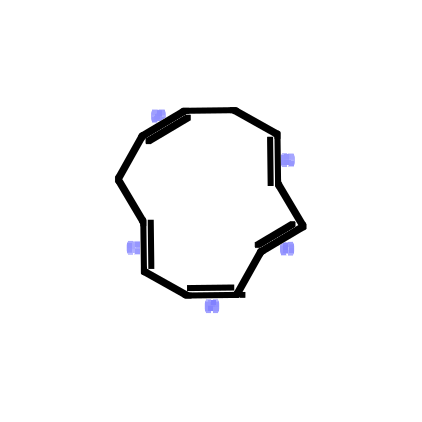 [C]1=C\C=C\C/C=C\C/C=C/C=C/1